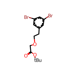 CC(C)(C)OC(=O)COCCc1cc(Br)cc(Br)c1